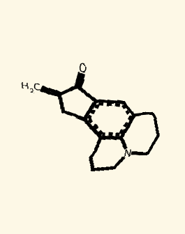 C=C1Cc2c(cc3c4c2CCCN4CCC3)C1=O